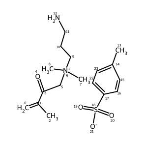 C=C(C)C(=O)C[N+](C)(C)CCCN.Cc1ccc(S(=O)(=O)[O-])cc1